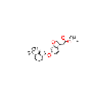 COC(=O)CC1COc2cc(OC3CCc4c3cccc4C3(C)CC3)ccc21